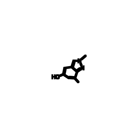 Cc1cc(O)cc2cn(C)nc12